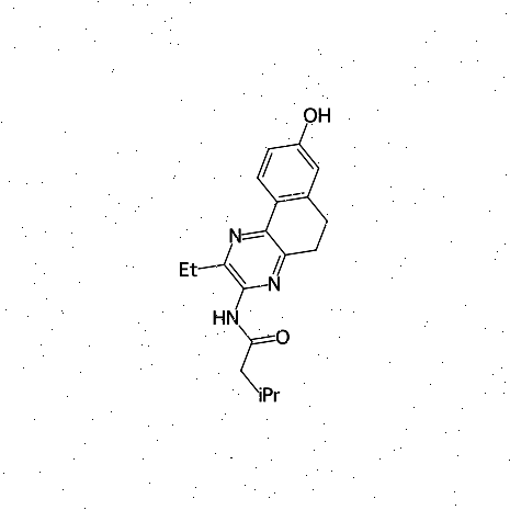 CCc1nc2c(nc1NC(=O)CC(C)C)CCc1cc(O)ccc1-2